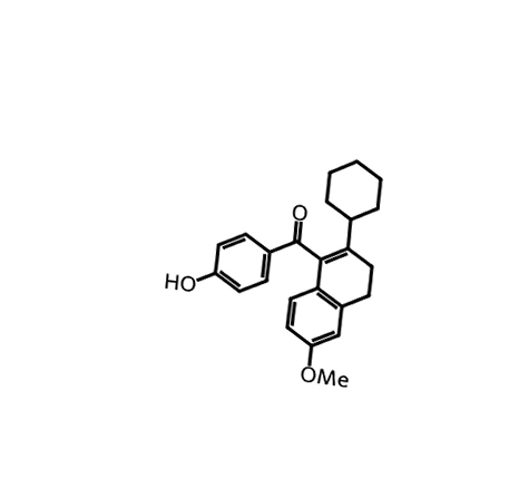 COc1ccc2c(c1)CCC(C1CCCCC1)=C2C(=O)c1ccc(O)cc1